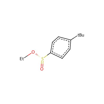 CCO[S@@](=O)c1ccc(C(C)(C)C)cc1